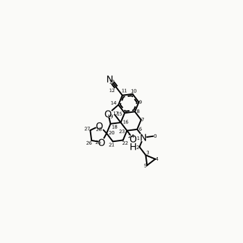 CN(CC1CC1)C1Cc2ccc(C#N)c3c2C2(C)C(O3)C3(CCC12O)OCCO3